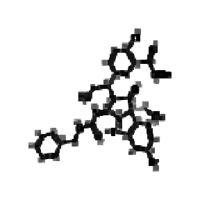 COC(=O)c1cc(C(CO)N2C(=O)[C@@](CC(C)(C)C)(c3ccc(Br)cc3F)NC2=NC(=O)OCc2ccccc2)ccc1Cl